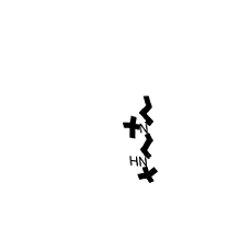 CCCCN(CCCNC(C)(C)C)C(C)(C)C